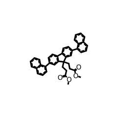 COC(=O)CCC1(CCC(=O)OC)c2cc(-c3cccc4ccccc34)ccc2-c2ccc(-c3cccc4ccccc34)cc21